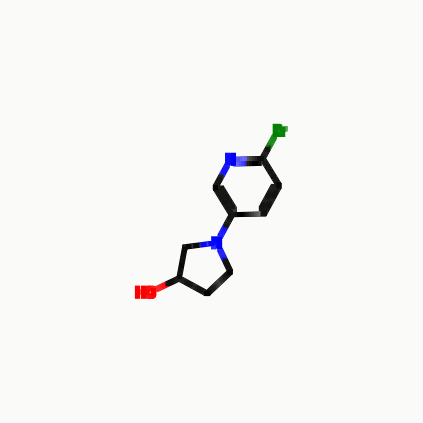 OC1CCN(c2ccc(Br)nc2)C1